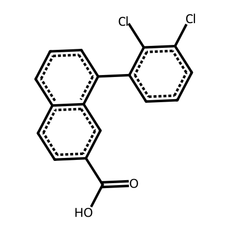 O=C(O)c1ccc2cccc(-c3cccc(Cl)c3Cl)c2c1